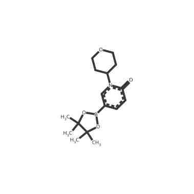 CC1(C)OB(c2ccc(=O)n(C3CCOCC3)c2)OC1(C)C